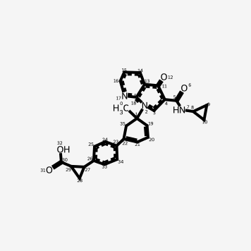 CC1(n2cc(C(=O)NC3CC3)c(=O)c3cccnc32)C=CC=C(c2ccc(C3CC3C(=O)O)cc2)C1